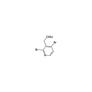 [CH2]OCc1c(Br)ccnc1Br